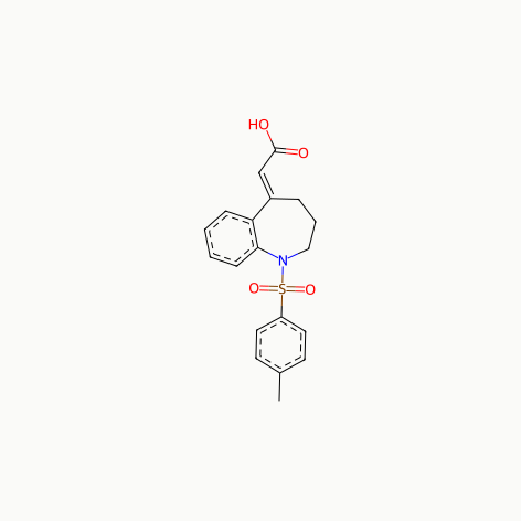 Cc1ccc(S(=O)(=O)N2CCCC(=CC(=O)O)c3ccccc32)cc1